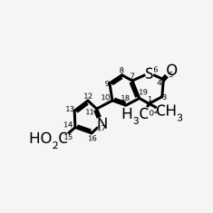 CC1(C)CC(=O)Sc2ccc(-c3ccc(C(=O)O)cn3)cc21